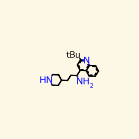 CC(C)(C)c1cc(C(N)CCC2CCNCC2)c2ccccc2n1